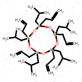 C=CC[Si]1(CC(C)C)O[Si](CC=C)(CC(C)C)O[Si](CC=C)(CC(C)C)O[Si](CC=C)(CC(C)C)O[Si](CC=C)(CC(C)C)O1